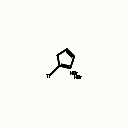 Br.Br.[Ti][C]1=CC=CC1